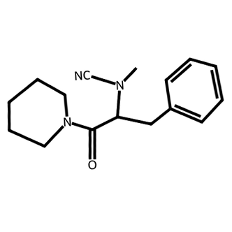 CN(C#N)C(Cc1ccccc1)C(=O)N1CCCCC1